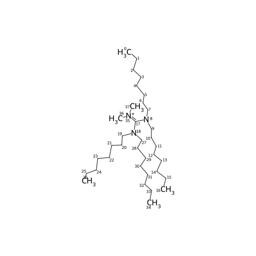 CCCCCCCCN(CCCCCCCC)C(N(CCCCCCCC)CCCCCCCC)=[N+](C)C